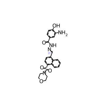 Nc1cc(C(=O)N/N=C/c2ccc(S(=O)(=O)N3CCOCC3)c3ccccc23)ccc1O